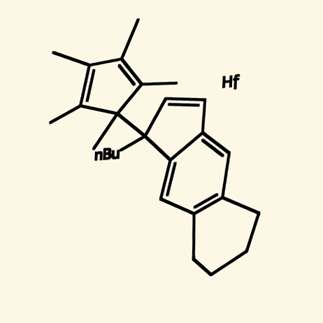 CCCCC1(C2(C)C(C)=C(C)C(C)=C2C)C=Cc2cc3c(cc21)CCCC3.[Hf]